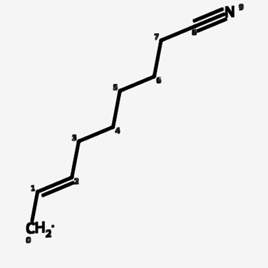 [CH2]C=CCCCCCC#N